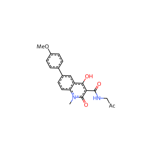 COc1ccc(-c2ccc3c(c2)c(O)c(C(=O)NCC(C)=O)c(=O)n3C)cc1